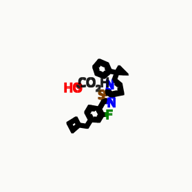 Fc1cc(CC2CCC2)ccc1-c1nc2ccc(C3(c4ccccc4)CC3)nc2s1.O=C(O)O